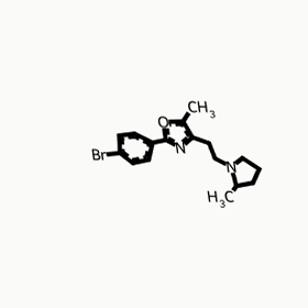 Cc1oc(-c2ccc(Br)cc2)nc1CCN1CCCC1C